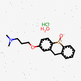 CN(C)CCCOc1ccc2c(c1)Cc1ccccc1[S+]2[O-].Cl.O